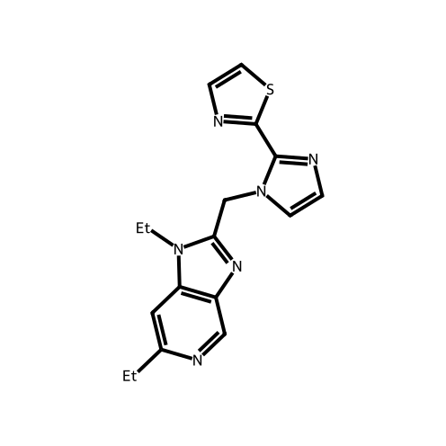 CCc1cc2c(cn1)nc(Cn1ccnc1-c1nccs1)n2CC